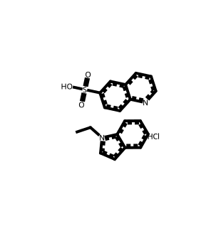 CCn1ccc2ccccc21.Cl.O=S(=O)(O)c1ccc2ncccc2c1